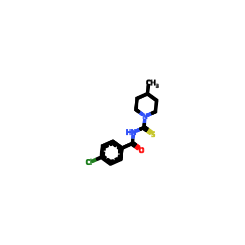 CC1CCN(C(=S)NC(=O)c2ccc(Cl)cc2)CC1